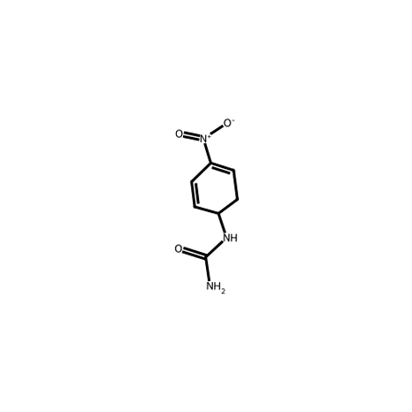 NC(=O)NC1C=CC([N+](=O)[O-])=CC1